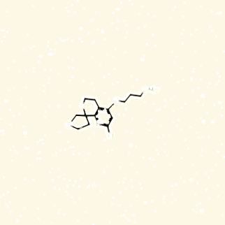 COCCCOc1cc(Cl)nc2c1CCOC21CCOC1